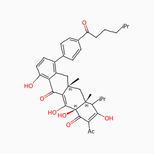 CC(=O)C1=C(O)C(C(C)C)[C@@]2(C)C[C@@]3(C)Cc4c(-c5ccc(C(=O)CCCC(C)C)cc5)ccc(O)c4C(=O)C3=C(O)[C@@]2(O)C1=O